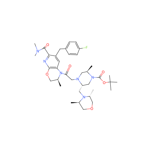 C[C@@H]1CN(CC(=O)N2c3cc(Cc4ccc(F)cc4)c(C(=O)N(C)C)nc3OC[C@@H]2C)[C@@H](CN2[C@H](C)COC[C@H]2C)CN1C(=O)OC(C)(C)C